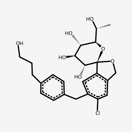 C[C@@H](O)[C@H]1O[C@]2(OCc3cc(Cl)c(Cc4ccc(CCCO)cc4)cc32)[C@H](O)[C@@H](O)[C@@H]1O